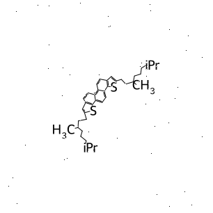 CC(C)CCCC(C)CCc1cc2ccc3c4ccc5cc(CCC(C)CCCC(C)C)sc5c4ccc3c2s1